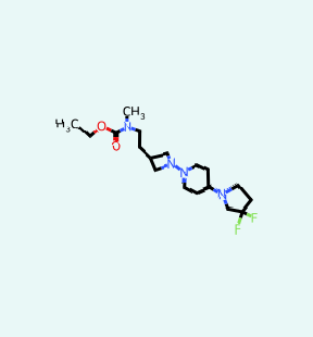 CCOC(=O)N(C)CCC1CN(N2CCC(N3CCC(F)(F)C3)CC2)C1